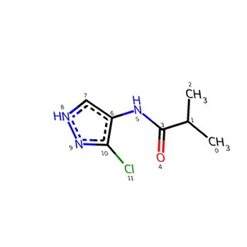 CC(C)C(=O)Nc1c[nH]nc1Cl